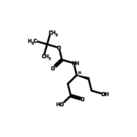 CC(C)(C)OC(=O)N[C@@H](CCO)CC(=O)O